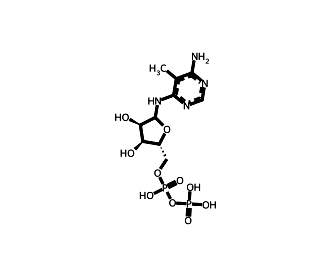 Cc1c(N)ncnc1NC1O[C@H](COP(=O)(O)OP(=O)(O)O)[C@@H](O)[C@H]1O